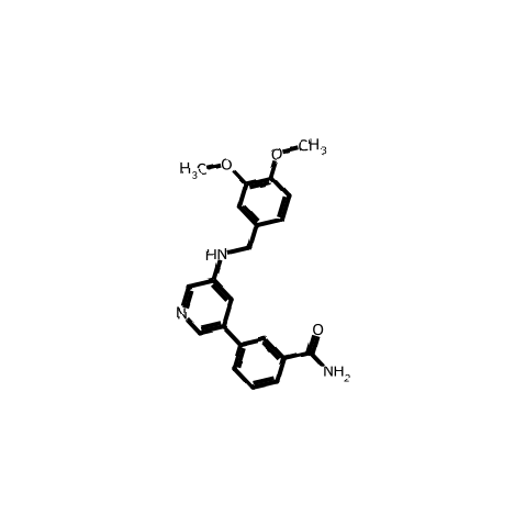 COc1ccc(CNc2cncc(-c3cccc(C(N)=O)c3)c2)cc1OC